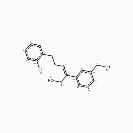 N#CN/C(=N\CCc1ccccc1Cl)c1cncc(CO)c1